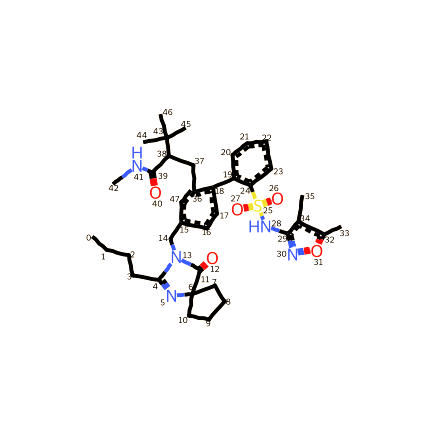 CCCCC1=NC2(CCCC2)C(=O)N1Cc1ccc(-c2ccccc2S(=O)(=O)Nc2noc(C)c2C)c(CC(C(=O)NC)C(C)(C)C)c1